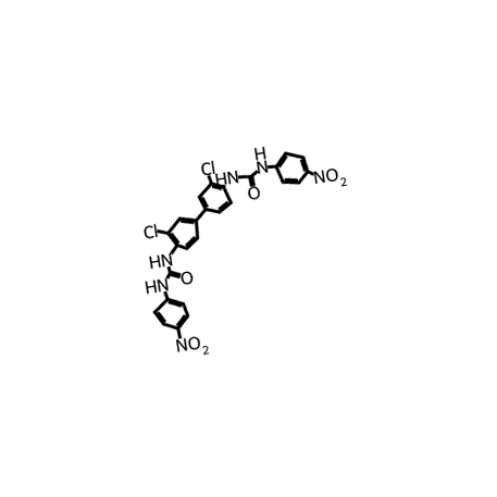 O=C(Nc1ccc([N+](=O)[O-])cc1)Nc1ccc(-c2ccc(NC(=O)Nc3ccc([N+](=O)[O-])cc3)c(Cl)c2)cc1Cl